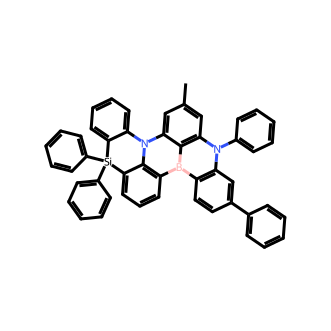 Cc1cc2c3c(c1)N1c4ccccc4[Si](c4ccccc4)(c4ccccc4)c4cccc(c41)B3c1ccc(-c3ccccc3)cc1N2c1ccccc1